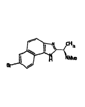 CN[C@H](C)c1nc2ccc3cc(Br)ccc3c2[nH]1